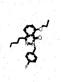 CCCCc1nn(Cc2ccc(F)cc2)c(=O)c2c(OCCC)cccc12